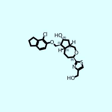 OCc1csc([C@H]2CC[C@H]3[C@@H](CO2)C[C@@H](O)[C@@H]3COc2ccc3c(c2Cl)CCC3)n1